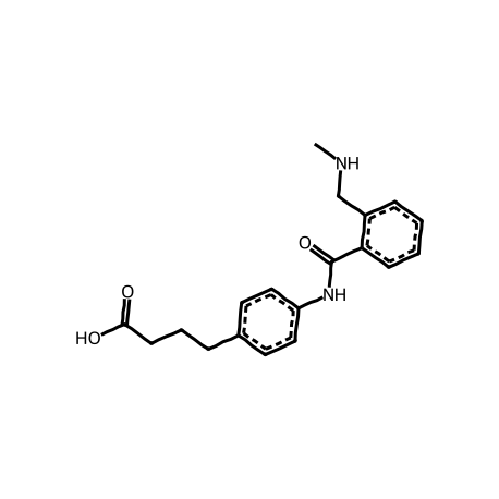 CNCc1ccccc1C(=O)Nc1ccc(CCCC(=O)O)cc1